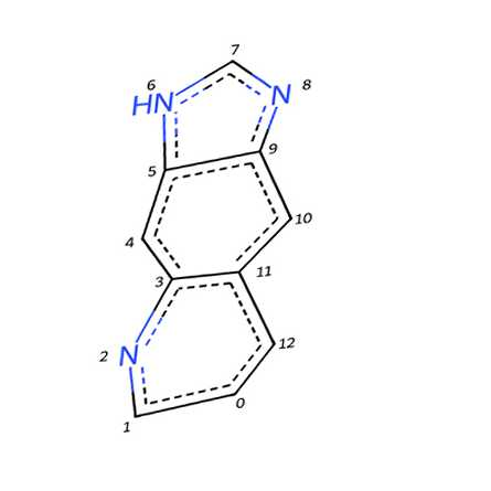 c1cnc2cc3[nH]cnc3cc2c1